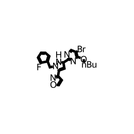 CCCCOc1nc(C2C=C(c3ccon3)N(Cc3ccccc3F)N2)ncc1Br